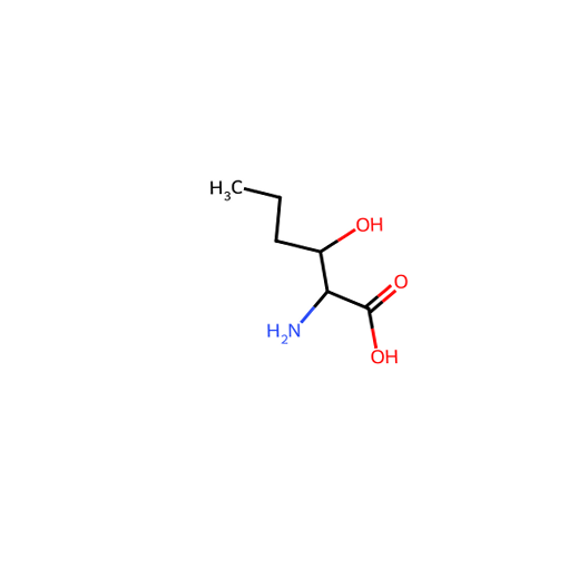 CCCC(O)C(N)C(=O)O